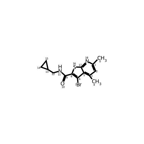 Cc1cc(C)c2c(Br)c(C(=O)NCC3CC3)sc2n1